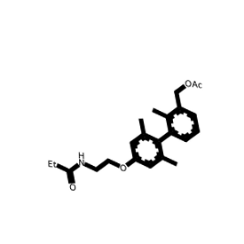 CCC(=O)NCCOc1cc(C)c(-c2cccc(COC(C)=O)c2C)c(C)c1